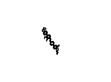 C=CCOc1ccc(C2CCC(CCc3ccc(-c4ccc(OCC)cc4)c(F)c3F)CC2)cc1F